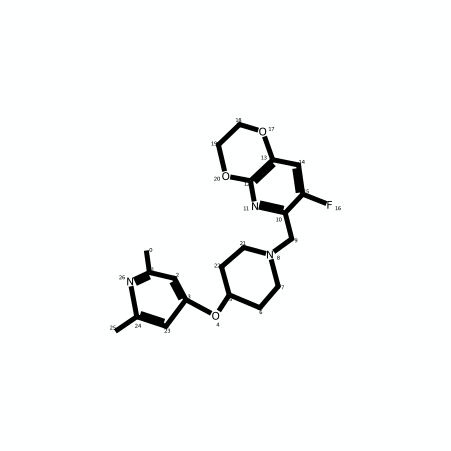 Cc1cc(OC2CCN(Cc3nc4c(cc3F)OCCO4)CC2)cc(C)n1